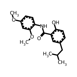 COc1ccc(NC(=O)c2cc(CC(C)C)ccc2O)c(OC)c1